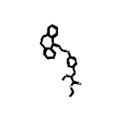 CCOC(=O)C(Cc1ccc(OCC=C2c3ccccc3CCc3ccccc32)cc1)OC